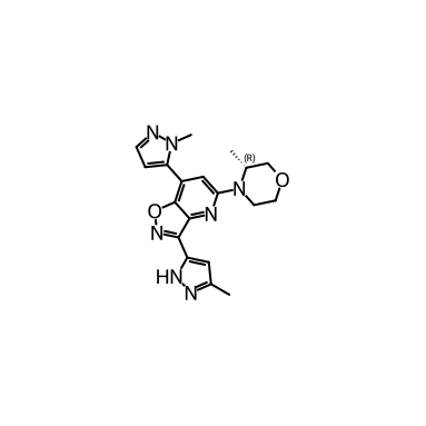 Cc1cc(-c2noc3c(-c4ccnn4C)cc(N4CCOC[C@H]4C)nc23)[nH]n1